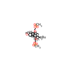 CCCC[C@H](C)[C@H]1CC[C@H]2[C@@H]3[C@H](OCCOS(C)(=O)=O)C[C@@H]4C[C@H](OCCC)CC[C@]4(C)[C@H]3C[C@H](OCCOS(C)(=O)=O)[C@]12C